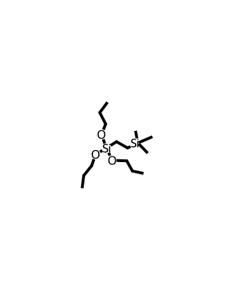 CCCO[Si](CC[Si](C)(C)C)(OCCC)OCCC